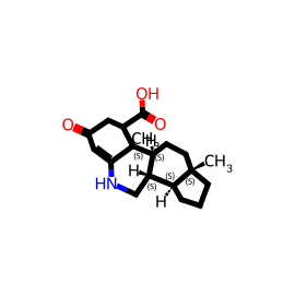 C[C@@]12CCC[C@H]1[C@@H]1CNC3=CC(=O)CC(C(=O)O)[C@]3(C)[C@H]1CC2